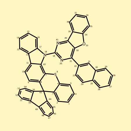 c1ccc2c(c1)Sc1c(ccc3c4ccccc4n(-c4nc(-c5ccc6ccccc6c5)c5oc6ccccc6c5n4)c13)C21c2ccccc2-c2ccccc21